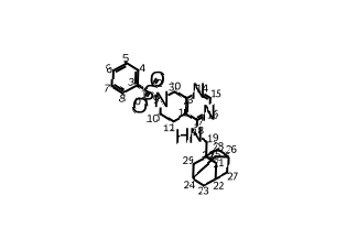 O=S(=O)(c1ccccc1)N1CCc2c(ncnc2NCC23CC4CC(CC(C4)C2)C3)C1